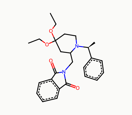 CCOC1(OCC)CCN([C@@H](C)c2ccccc2)C(CN2C(=O)c3ccccc3C2=O)C1